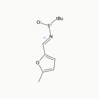 Cc1ccc(/C=N/[S+]([O-])C(C)(C)C)o1